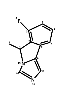 CC1c2c(F)cccc2-c2cncn21